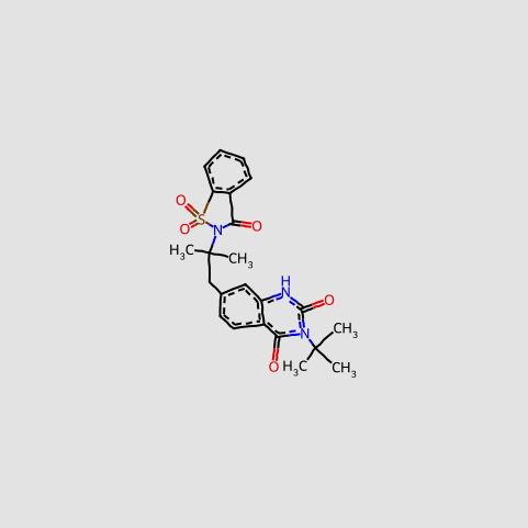 CC(C)(Cc1ccc2c(=O)n(C(C)(C)C)c(=O)[nH]c2c1)N1C(=O)c2ccccc2S1(=O)=O